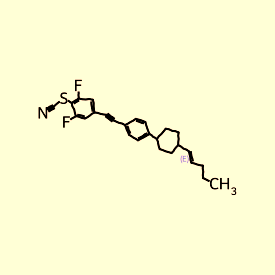 CCC/C=C/C1CCC(c2ccc(C#Cc3cc(F)c(SC#N)c(F)c3)cc2)CC1